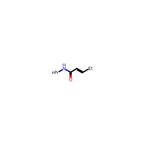 [CH2]CCNC(=O)C=CCC